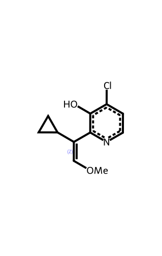 CO/C=C(\c1nccc(Cl)c1O)C1CC1